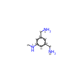 CNc1cc(CN)cc(CN)c1